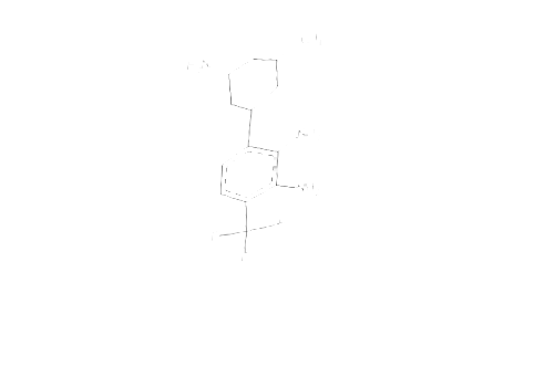 C[C@@H]1CC(c2ccc(C(F)(F)F)c(N)c2N)C[C@H](N)C1